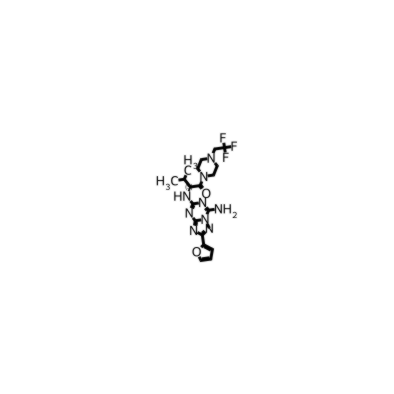 CC(C)[C@H](Nc1nc(N)n2nc(-c3ccco3)nc2n1)C(=O)N1CCN(CC(F)(F)F)CC1